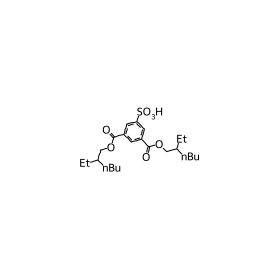 CCCCC(CC)COC(=O)c1cc(C(=O)OCC(CC)CCCC)cc(S(=O)(=O)O)c1